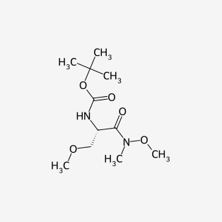 COC[C@H](NC(=O)OC(C)(C)C)C(=O)N(C)OC